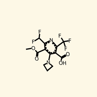 COC(=O)c1c(C(F)F)nc(C(F)(F)F)c(C(=O)O)c1N1CCC1